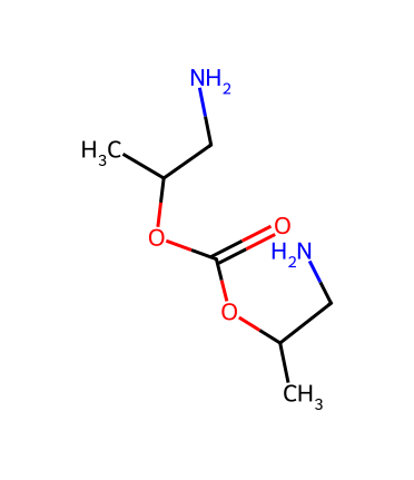 CC(CN)OC(=O)OC(C)CN